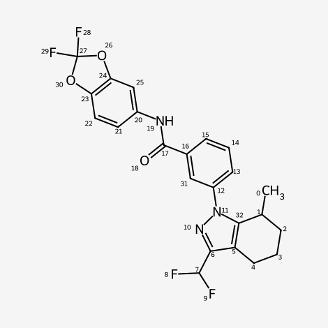 CC1CCCc2c(C(F)F)nn(-c3cccc(C(=O)Nc4ccc5c(c4)OC(F)(F)O5)c3)c21